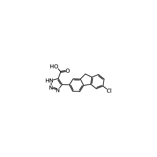 O=C(O)c1[nH]nnc1-c1ccc2c(c1)Cc1ccc(Cl)cc1-2